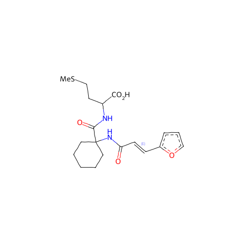 CSCCC(NC(=O)C1(NC(=O)/C=C/c2ccco2)CCCCC1)C(=O)O